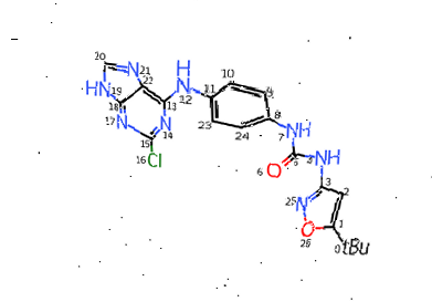 CC(C)(C)c1cc(NC(=O)Nc2ccc(Nc3nc(Cl)nc4[nH]cnc34)cc2)no1